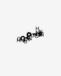 Cn1ncnc1NC(=O)COc1cccc2c(C3CCC(=O)NC3=O)nn(C)c12